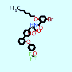 CCCCCCCOc1ccc(Br)cc1C(=O)N[C@@H](Cc1ccc(-c2ccccc2Oc2ccc(OC(F)(F)F)cc2)cc1)C(=O)O